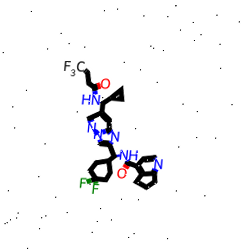 O=C(CCC(F)(F)F)N[C@@H](c1cnn2cc([C@@H](NC(=O)c3ccnc4c3CCC4)C3CCC(F)(F)CC3)nc2c1)C1CC1